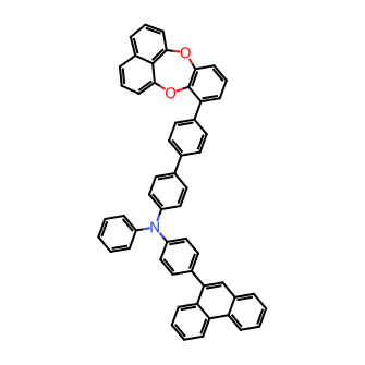 c1ccc(N(c2ccc(-c3ccc(-c4cccc5c4Oc4cccc6cccc(c46)O5)cc3)cc2)c2ccc(-c3cc4ccccc4c4ccccc34)cc2)cc1